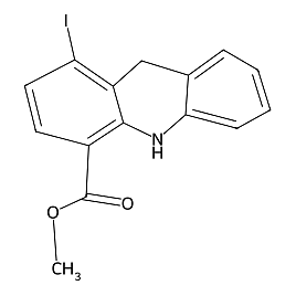 COC(=O)c1ccc(I)c2c1Nc1ccccc1C2